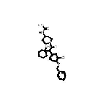 O=C(O)NC1CCN(C(=O)C(c2ccc(OCc3ccccc3)c(Cl)c2)C2(O)CCCCC2)CC1